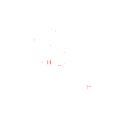 O=S(O)(O)=S.OSO